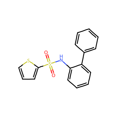 O=S(=O)(Nc1ccccc1-c1ccccc1)c1cccs1